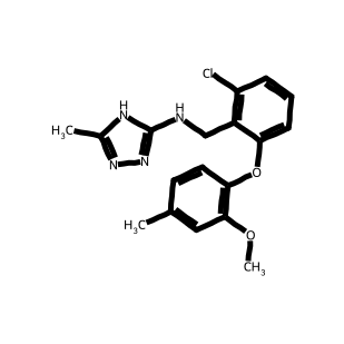 COc1cc(C)ccc1Oc1cccc(Cl)c1CNc1nnc(C)[nH]1